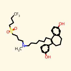 CN(CCCCCCC1=C(c2cccc(O)c2)CCCc2cc(O)ccc21)CCCCS(=O)(=O)CCCC(F)(F)F